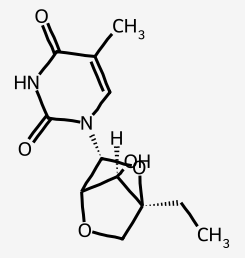 CC[C@@]12COC([C@H](n3cc(C)c(=O)[nH]c3=O)O1)[C@H]2O